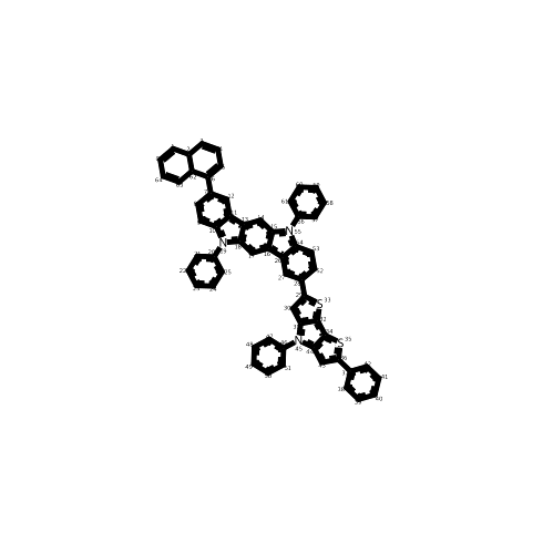 C1=CC2C=CC=C(c3ccc4c(c3)c3cc5c(cc3n4-c3ccccc3)c3cc(-c4cc6c(s4)c4sc(-c7ccccc7)cc4n6-c4ccccc4)ccc3n5-c3ccccc3)C2C=C1